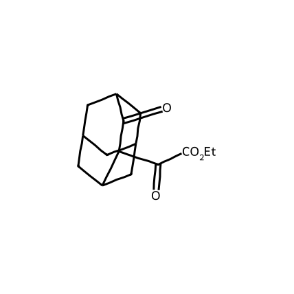 CCOC(=O)C(=O)C1C(=O)C2CC3CC(C2)CC1C3